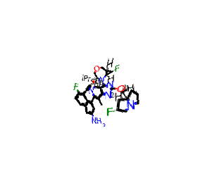 [2H]C([2H])(Oc1nc(N2CCOC[C@H]3[C@H](F)[C@H]32)c2cnc(-c3cc(N)cc4ccc(F)c(C#C[Si](C(C)C)(C(C)C)C(C)C)c34)c(C)c2n1)[C@@]12CCCN1C[C@H](F)C2